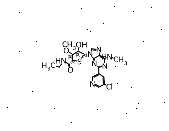 CCNC(=O)[C@H]1S[C@@H](n2cnc3c(NC)nc(-c4cncc(Cl)c4)nc32)[C@H](O)[C@@H]1OC